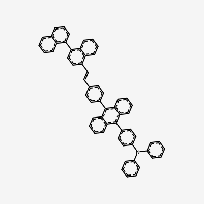 C(=C\c1ccc(-c2cccc3ccccc23)c2ccccc12)/c1ccc(-c2c3ccccc3c(-c3ccc(N(c4ccccc4)c4ccccc4)cc3)c3ccccc23)cc1